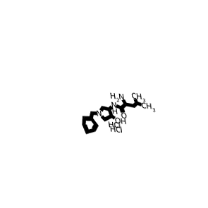 CC(C)CC(N)C(=O)NC1CN(Cc2ccccc2)CC1O.Cl.Cl